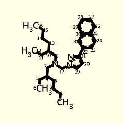 CCCCC(CC)CN(CC(CC)CCCC)Cn1ccc(-c2ccc3ccccc3c2)n1